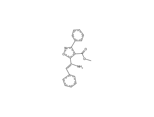 COC(=O)c1c(-c2ccccc2)noc1C(N)=Cc1ccccc1